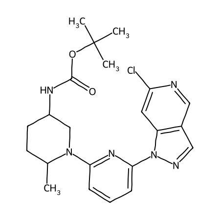 CC1CCC(NC(=O)OC(C)(C)C)CN1c1cccc(-n2ncc3cnc(Cl)cc32)n1